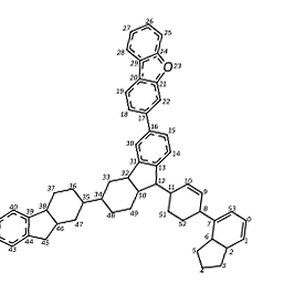 C1=CC2CCCC2C(C2C=CC(C3c4ccc(-c5ccc6c(c5)oc5ccccc56)cc4C4CC(C5CCC6c7ccccc7CC6C5)CCC43)CC2)=C1